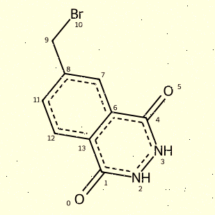 O=c1[nH][nH]c(=O)c2cc(CBr)ccc12